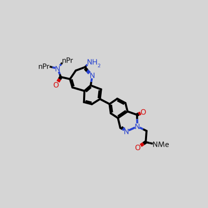 CCCN(CCC)C(=O)C1=Cc2ccc(-c3ccc4c(=O)n(CC(=O)NC)ncc4c3)cc2N=C(N)C1